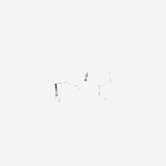 CC(=N)NNC(=O)C(CC(C)(C)C)C(C)(C)C